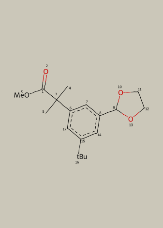 COC(=O)C(C)(C)c1cc(C2OCCO2)cc(C(C)(C)C)c1